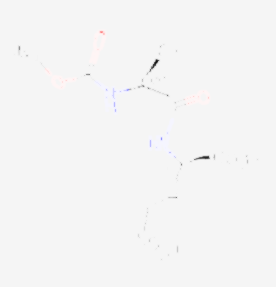 CCOC(=O)CC[C@@H](NC(=O)[C@H](C)NC(=O)OC(C)(C)C)C(=O)OCC